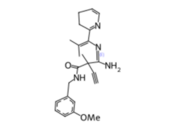 C#CC(C)(C(=O)NCc1cccc(OC)c1)/C(N)=N\C(C1=NC=CCC1)=C(C)C